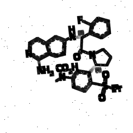 CC(C)S(=O)(=O)c1ccc(N(C)C(=O)O)cc1[C@H]1CCCN1C(=O)[C@H](Nc1ccc2c(N)nccc2c1)c1ccccc1F